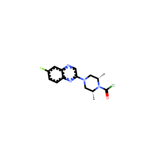 C[C@@H]1CN(c2cnc3cc(F)ccc3n2)C[C@H](C)N1C(=O)Cl